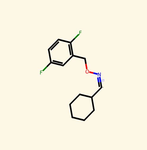 Fc1ccc(F)c(CO/N=[C]\C2CCCCC2)c1